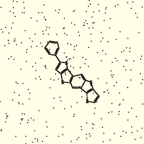 c1ccc(-c2cc3sc4cc5c(cc4c3s2)sc2ccsc25)cc1